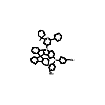 CC(C)(C)c1ccc(N(c2ccc(C(C)(C)C)cc2)c2ccc3c(c2)c2c(n3-c3cc(-c4ccccc4)nc(C4(C)C=CC=CC4)c3)-c3ccccc3C23C2=C(CCC=C2)c2ccccc23)cc1